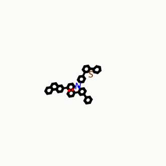 c1ccc(-c2ccc(N(c3ccc(-c4ccc5c(ccc6ccccc65)c4)cc3)c3ccc(-c4cccc5c4sc4ccccc45)cc3)c(-c3ccccc3)c2)cc1